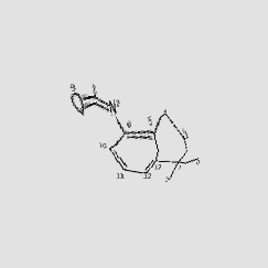 CC1(C)CCc2c(N=C=O)cccc21